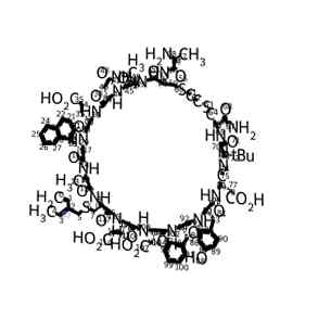 C=C/C(=C\C)CSC[C@H]1NC(=O)[C@@H](C)NC(=O)[C@H](Cc2cccc3ccccc23)NC(=O)[C@H](CCC(=O)O)NC(=O)[C@H](CC(N)=O)NC(=O)[C@@H](C)NC(=O)[C@@H](NC(=O)[C@H](C)N)CSCCSC[C@@H](C(N)=O)NC(=O)[C@H](C(C)(C)C)NC[C@H](CC(=O)O)NC(=O)[C@H](Cc2ccc(O)cc2)NC(=O)[C@H](Cc2ccccc2)NC(=O)[C@H](CC(=O)O)NC(=O)[C@H](CCC(=O)O)NC1=O